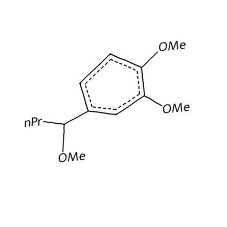 CCCC(OC)c1ccc(OC)c(OC)c1